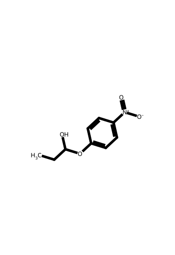 CCC(O)Oc1ccc([N+](=O)[O-])cc1